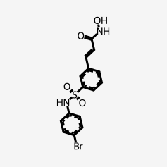 O=C(/C=C/c1cccc(S(=O)(=O)Nc2ccc(Br)cc2)c1)NO